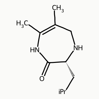 CC1=C(C)NC(=O)[C@@H](CC(C)C)NC1